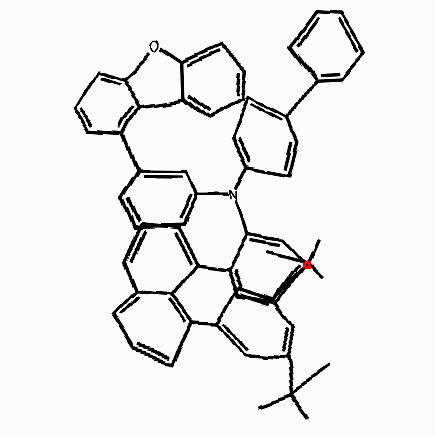 CC(C)(C)c1cc(-c2cccc3cccc(-c4ccccc4N(c4ccc(-c5ccccc5)cc4)c4cccc(-c5cccc6oc7ccccc7c56)c4)c23)cc(C(C)(C)C)c1